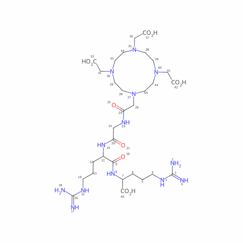 N=C(N)NCCCC(NC(=O)C(CCCNC(=N)N)NC(=O)CNC(=O)CN1CCN(CC(=O)O)CCN(CC(=O)O)CCN(CC(=O)O)CC1)C(=O)O